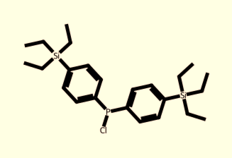 CC[Si](CC)(CC)c1ccc(P(Cl)c2ccc([Si](CC)(CC)CC)cc2)cc1